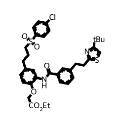 CCOC(=O)COc1ccc(CCCS(=O)(=O)c2ccc(Cl)cc2)cc1NC(=O)c1cccc(CCc2nc(C(C)(C)C)cs2)c1